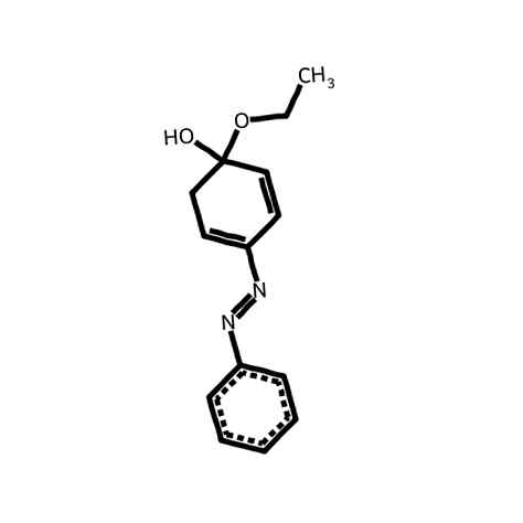 CCOC1(O)C=CC(N=Nc2ccccc2)=CC1